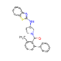 Cc1cccc(-c2ccccc2)c1C(=O)N1CC[C@@H](Nc2nc3ccccc3s2)C1